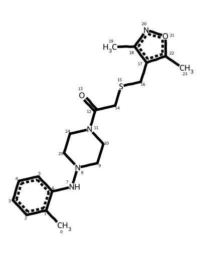 Cc1ccccc1NN1CCN(C(=O)CSCc2c(C)noc2C)CC1